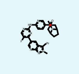 CC(C)c1c2cc(-c3nc(Nc4ccc(C(=O)N5C6CCC5CN(C)C6)cn4)ncc3F)cnc2nn1C